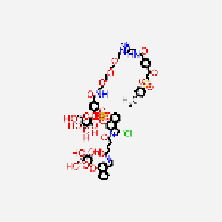 Cc1ccc(S(=O)(=O)CCC(=O)c2ccc(C(=O)NCc3cn(CCOCCOCCOCCNC(=O)c4ccc(O[C@@H]5O[C@H](CO)[C@H](O)[C@H](O)[C@H]5O)c(OS(=O)(=O)Oc5cc6c(c7ccccc57)[C@H](CCl)CN6C(=O)CCCC(=O)N5CCc6c5cc(OC5C[C@@H](O)[C@@H](O)[C@@H](CO)O5)c5ccccc65)c4)nn3)cc2)cc1